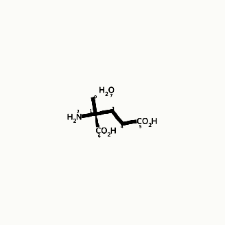 C[C@@](N)(CCC(=O)O)C(=O)O.O